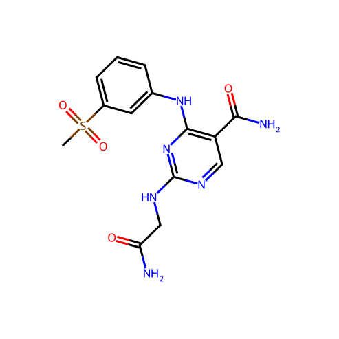 CS(=O)(=O)c1cccc(Nc2nc(NCC(N)=O)ncc2C(N)=O)c1